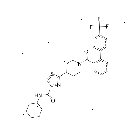 O=C(NC1CCCCC1)c1csc(C2CCN(C(=O)c3ccccc3-c3ccc(C(F)(F)F)cc3)CC2)n1